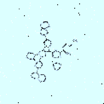 C=C(/C=C\C=C/C)c1nc(-c2ccccc2)cc(-n2c3ccc(-c4ccc5ccccc5c4)cc3c3cc4c5ccccc5c5cc(-c6cccc7ccccc67)ccc5c4cc32)n1